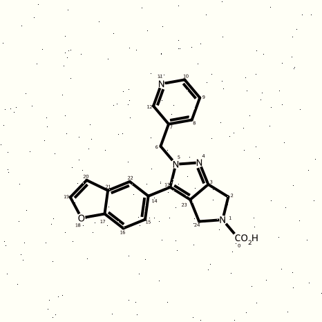 O=C(O)N1Cc2nn(Cc3cccnc3)c(-c3ccc4occc4c3)c2C1